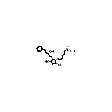 CCN(C=O)CCC/C=C\C[C@@H]1[C@@H](/C=C/[C@@H](O)CCc2ccccc2)[C@H](O)C[C@@H]1O